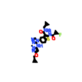 Cn1nc(OCC2CC2)cc1Nc1nncn1[C@H]1CCc2sc(NC(=O)[C@H]3C[C@@H]3F)c(C(=O)NCC3CC3)c2C1